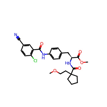 COCCC1(C(=O)N[C@@H](Cc2ccc(NC(=O)c3cc(C#N)ccc3Cl)cc2)C(=O)OC)CCCC1